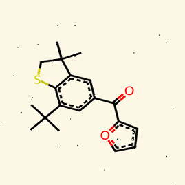 CC(C)(C)c1cc(C(=O)c2ccco2)cc2c1SCC2(C)C